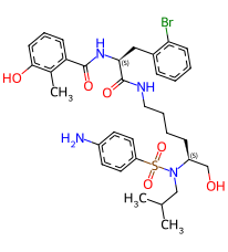 Cc1c(O)cccc1C(=O)N[C@@H](Cc1ccccc1Br)C(=O)NCCCC[C@@H](CO)N(CC(C)C)S(=O)(=O)c1ccc(N)cc1